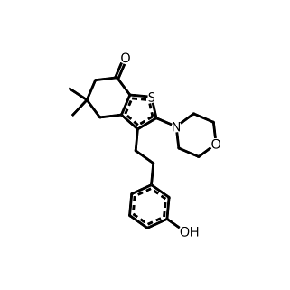 CC1(C)CC(=O)c2sc(N3CCOCC3)c(CCc3cccc(O)c3)c2C1